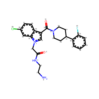 NCCNC(=O)Cn1cc(C(=O)N2CCC(c3ccccc3F)CC2)c2ccc(Cl)cc21